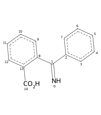 N=C(c1ccccc1)c1ccccc1C(=O)O